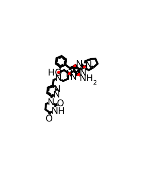 Nc1nnc(-c2ccccc2O)cc1N1CC2CCC(C1)N2c1ncc(C2CCN(Cc3ccc(N4CCC(=O)NC4=O)nn3)CC2)cn1